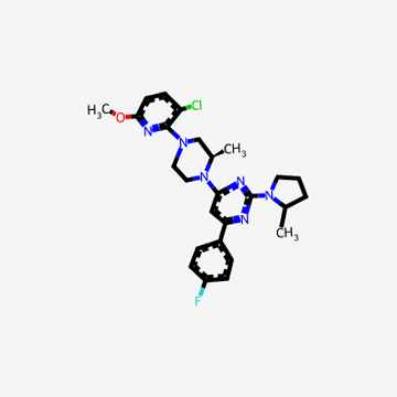 COc1ccc(Cl)c(N2CCN(c3cc(-c4ccc(F)cc4)nc(N4CCCC4C)n3)[C@H](C)C2)n1